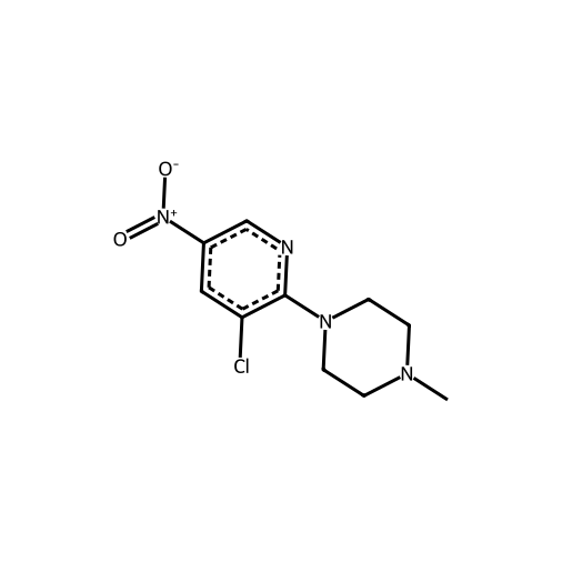 CN1CCN(c2ncc([N+](=O)[O-])cc2Cl)CC1